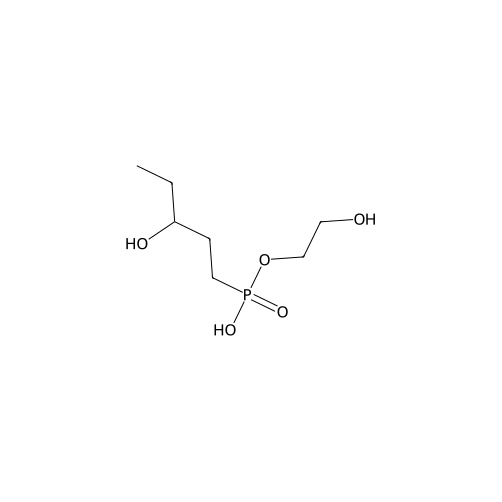 CCC(O)CCP(=O)(O)OCCO